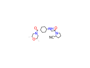 C[C@@H]1CN(C(=O)[C@H]2CC[C@H](NCC(=O)N3CCC[C@H]3C#N)CC2)C[C@H](C)O1